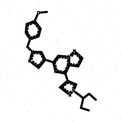 CCC(CC)n1cc(-c2nc(-c3cnn(Cc4ccc(OC)cc4)c3)cn3nccc23)cn1